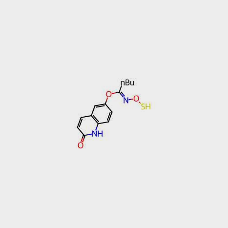 CCCCC(=NOS)Oc1ccc2[nH]c(=O)ccc2c1